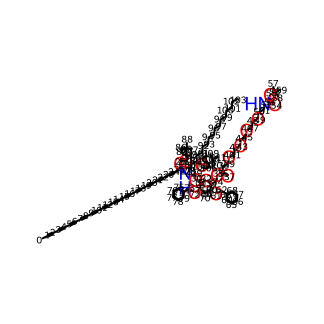 CC#CC#CC#CC#CC#CC#CC#CC#CC#CC#CC#CC#CC(=O)N[C@@H](CO[C@H]1OC(COC(=O)CCOCCOCCOCCOCCNC(=O)OC(C)(C)C)[C@H](OCc2ccccc2)[C@H](C)C1OCc1ccccc1)[C@H](O[Si](C)(C)C(C)(C)C)[C@@H](CCCCCCCCCCCCCC)O[Si](C)(C)C(C)(C)C